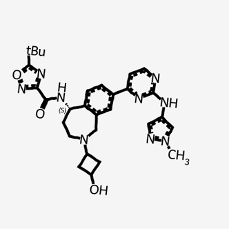 Cn1cc(Nc2nccc(-c3ccc4c(c3)CN(C3CC(O)C3)CC[C@@H]4NC(=O)c3noc(C(C)(C)C)n3)n2)cn1